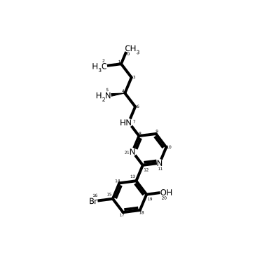 CC(C)C[C@H](N)CNc1ccnc(-c2cc(Br)ccc2O)n1